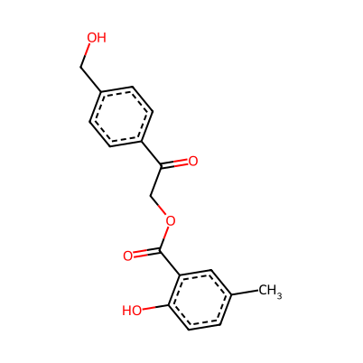 Cc1ccc(O)c(C(=O)OCC(=O)c2ccc(CO)cc2)c1